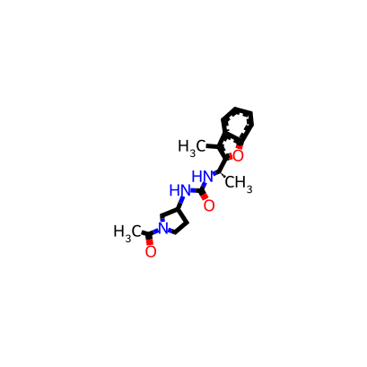 CC(=O)N1CCC(NC(=O)N[C@@H](C)c2oc3ccccc3c2C)C1